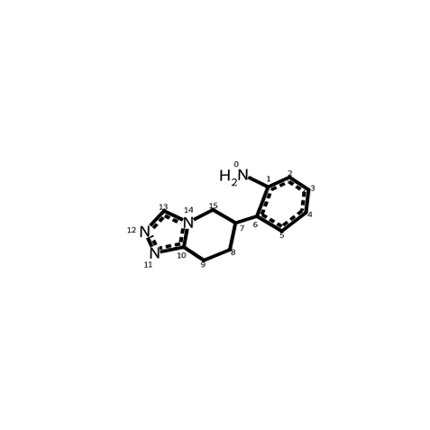 Nc1ccccc1C1CCc2nncn2C1